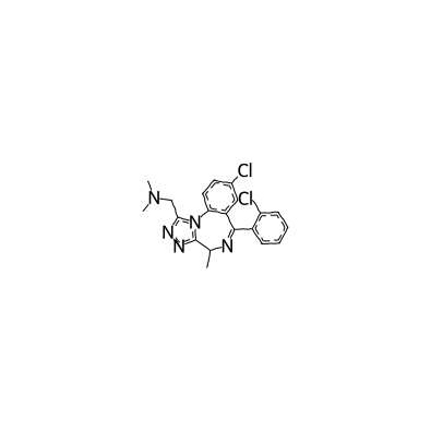 CC1N=C(c2ccccc2Cl)c2cc(Cl)ccc2-n2c(CN(C)C)nnc21